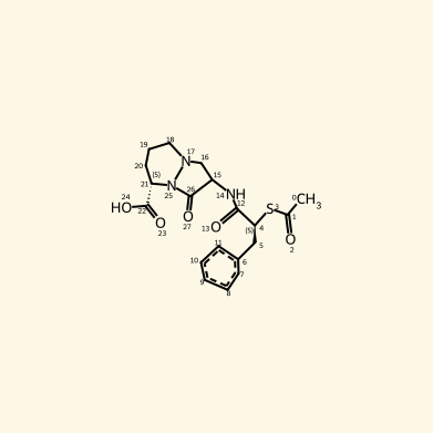 CC(=O)S[C@@H](Cc1ccccc1)C(=O)NC1CN2CCC[C@@H](C(=O)O)N2C1=O